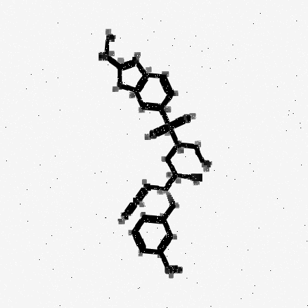 COc1cccc(C[C@H](N=[N+]=[N-])[C@H](O)CN(CC(C)C)S(=O)(=O)c2ccc3nc(NC(C)C)sc3c2)c1